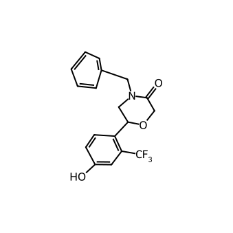 O=C1COC(c2ccc(O)cc2C(F)(F)F)CN1Cc1ccccc1